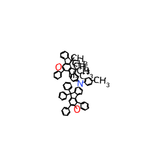 Cc1ccc(N(c2ccc3c(c2)C(C)(C)c2c4c(c5oc6ccccc6c5c2-3)-c2ccccc2C4(C)C)c2ccc3c(c2)C(c2ccccc2)(c2ccccc2)c2cc(-c4ccccc4)c4oc5ccccc5c4c2-3)c(C)c1